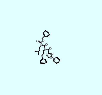 CC(C)CCN(C(=O)OCc1ccccc1)C(=O)N(CCCc1ccccc1)C(=O)C1=N[C@@H](c2ccccc2)CO1